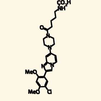 COc1cc(OC)c(-c2cn3ccc(N4CCN(C(=O)CCCCNC(=O)O)CC4)cc3n2)cc1Cl